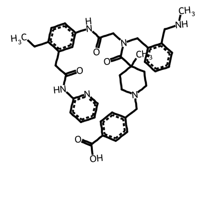 CCc1ccc(NC(=O)CN(Cc2ccccc2CNC)C(=O)C2(C)CCN(Cc3ccc(C(=O)O)cc3)CC2)cc1CC(=O)Nc1ccccn1